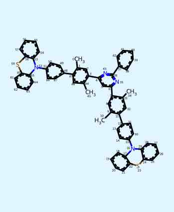 Cc1cc(-c2cc(-c3cc(C)c(-c4ccc(N5c6ccccc6Sc6ccccc65)cc4)cc3C)nc(-c3ccccc3)n2)c(C)cc1-c1ccc(N2c3ccccc3Sc3ccccc32)cc1